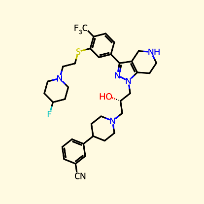 N#Cc1cccc(C2CCN(C[C@H](O)Cn3nc(-c4ccc(C(F)(F)F)c(SCCN5CCC(F)CC5)c4)c4c3CCNC4)CC2)c1